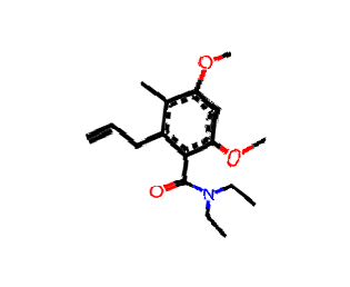 C=CCc1c(C)c(OC)cc(OC)c1C(=O)N(CC)CC